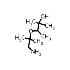 CC(OC(C)(C)CN)C(C)(C)O